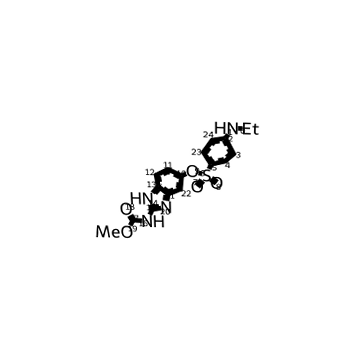 CCNc1ccc(S(=O)(=O)Oc2ccc3[nH]c(NC(=O)OC)nc3c2)cc1